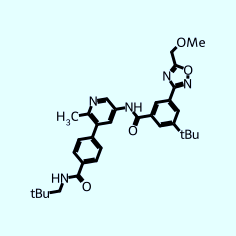 COCc1nc(-c2cc(C(=O)Nc3cnc(C)c(-c4ccc(C(=O)NCC(C)(C)C)cc4)c3)cc(C(C)(C)C)c2)no1